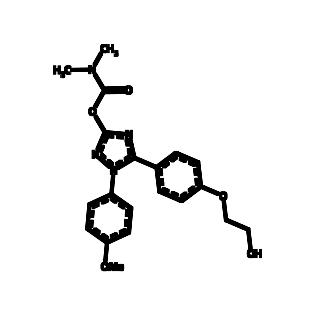 COc1ccc(-n2nc(OC(=O)N(C)C)nc2-c2ccc(OCCO)cc2)cc1